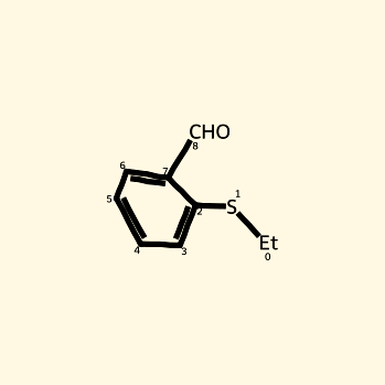 CCSc1ccccc1C=O